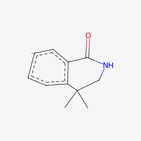 CC1(C)CNC(=O)c2c[c]ccc21